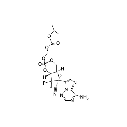 CC(C)OC(=O)OCOP1(=O)OC[C@H]2O[C@@](C#N)(c3cnc4c(N)ncnn34)[C@](C)(F)[C@@H]2O1